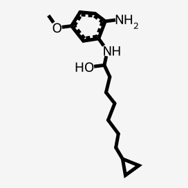 COc1ccc(N)c(NC(O)CCCCCCC2CC2)c1